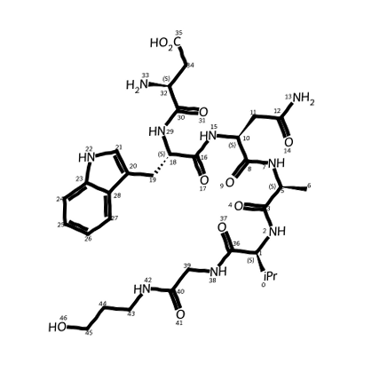 CC(C)[C@H](NC(=O)[C@H](C)NC(=O)[C@H](CC(N)=O)NC(=O)[C@H](Cc1c[nH]c2ccccc12)NC(=O)[C@@H](N)CC(=O)O)C(=O)NCC(=O)NCCCO